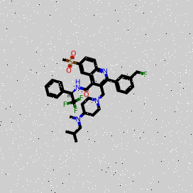 CC(C)CN(C)C1CCN(Cc2c(-c3cccc(CF)c3)nc3ccc(S(C)(=O)=O)cc3c2C(=O)N[C@H](c2ccccc2)C(F)(F)F)CC1